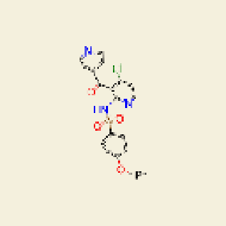 CC(C)Oc1ccc(S(=O)(=O)Nc2nccc(Cl)c2C(=O)c2ccncc2)cc1